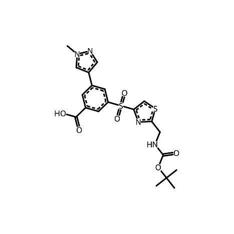 Cn1cc(-c2cc(C(=O)O)cc(S(=O)(=O)c3csc(CNC(=O)OC(C)(C)C)n3)c2)cn1